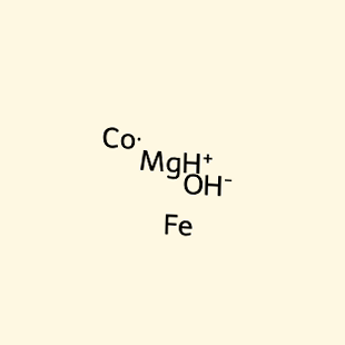 [Co].[Fe].[MgH+].[OH-]